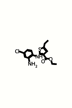 CCOC(=O)c1cc(CC)sc1Nc1ccc(Cl)cc1N